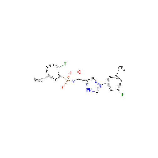 COc1ccc(F)c(S(=O)(=O)NC(=O)c2cn(-c3cc(F)cc(C(F)(F)F)c3)cn2)c1